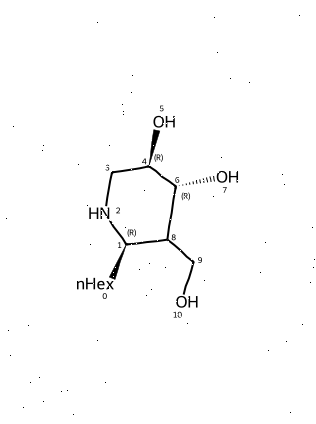 CCCCCC[C@H]1NC[C@@H](O)[C@H](O)C1CO